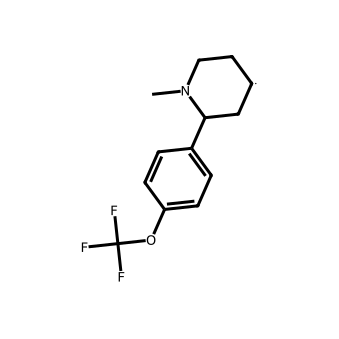 CN1CC[CH]CC1c1ccc(OC(F)(F)F)cc1